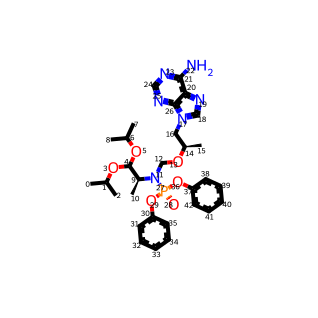 CC(C)OC(OC(C)C)[C@H](C)N(CO[C@H](C)Cn1cnc2c(N)ncnc21)P(=O)(Oc1ccccc1)Oc1ccccc1